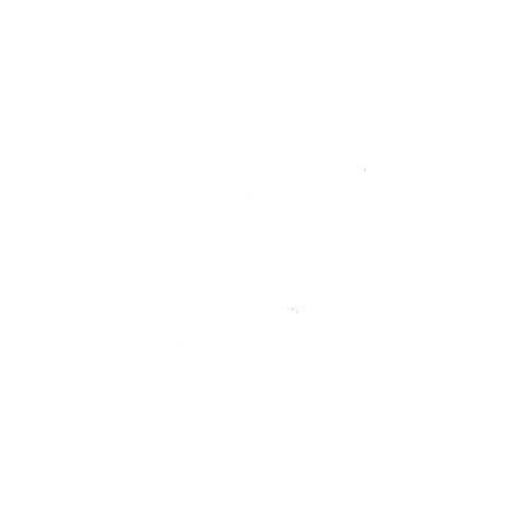 Cc1nc(SCc2cnccc2C(=O)O)sc1CC(=O)O